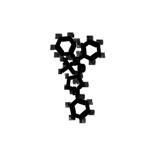 CC(C)(C)[Si](O[C@@H]1CCN(c2ccccc2)C1)(c1ccccc1)c1ccccc1